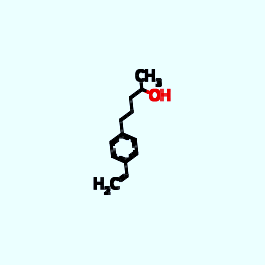 C=Cc1ccc(CCCC(C)O)cc1